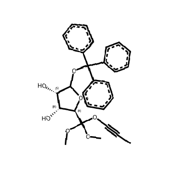 CC#COC(OC)(OC)[C@@H]1OC(OC(c2ccccc2)(c2ccccc2)c2ccccc2)[C@@H](O)[C@H]1O